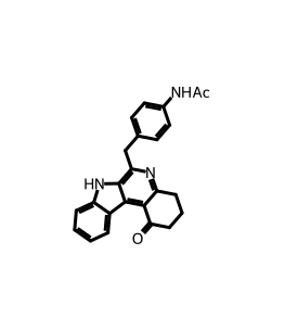 CC(=O)Nc1ccc(Cc2nc3c(c4c2[nH]c2ccccc24)C(=O)CCC3)cc1